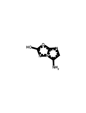 Nc1cnc2oc(O)nn12